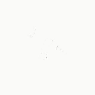 N=C(N)SCc1ccccc1Sc1cc(F)c(F)cc1CSC(=N)N